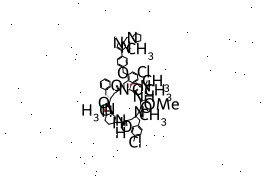 COC[C@@H]1NC(=O)[C@H](CCCN(C)C)N(Cc2ccc(Cl)cc2Oc2ccc(-c3cnc(CN4CCCC4)n3C)cc2)C(=O)C[C@@H](Cc2ccccc2)C(=O)N(C)[C@H]2CCCC[C@@H]2NC(=O)C[C@H](Cc2ccc(Cl)cc2)N(C)C1=O